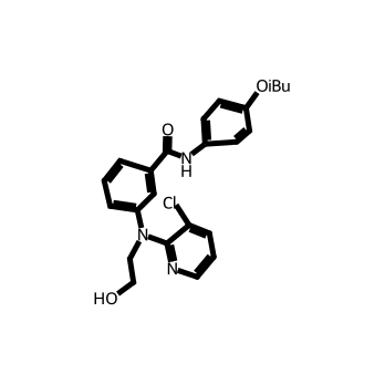 CC(C)COc1ccc(NC(=O)c2cccc(N(CCO)c3ncccc3Cl)c2)cc1